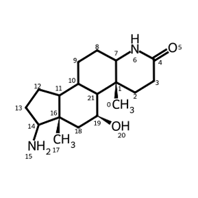 C[C@]12CCC(=O)NC1CCC1C3CCC(N)[C@@]3(C)C[C@H](O)C12